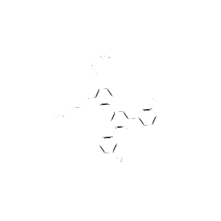 COCCOc1ccc(-c2cc(-c3cccc(N)c3)nc(-c3cccc(N)c3)c2)cc1OCCOC